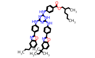 CCCCC(CC)COC(=O)c1ccc(NC2N=C(Nc3ccc(-c4nc5cc(CCC)ccc5o4)cc3)N=C(Nc3ccc(-c4nc5cc(C(C)(C)CC)ccc5o4)cc3)N2)cc1